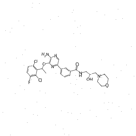 CC(Oc1nc(-c2cccc(C(=O)NCC(O)CN3CCOCC3)c2)cnc1N)c1c(Cl)ccc(F)c1Cl